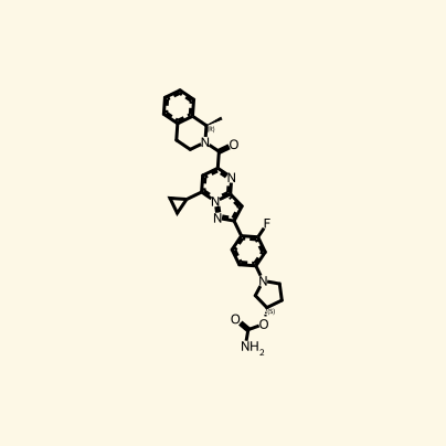 C[C@@H]1c2ccccc2CCN1C(=O)c1cc(C2CC2)n2nc(-c3ccc(N4CC[C@H](OC(N)=O)C4)cc3F)cc2n1